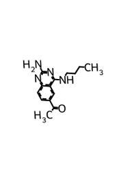 CCCCNc1nc(N)nc2ccc(C(C)=O)cc12